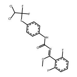 COC(=NC(=O)Nc1ccc(SC(F)(F)C(Cl)Cl)cc1)c1c(F)cccc1F